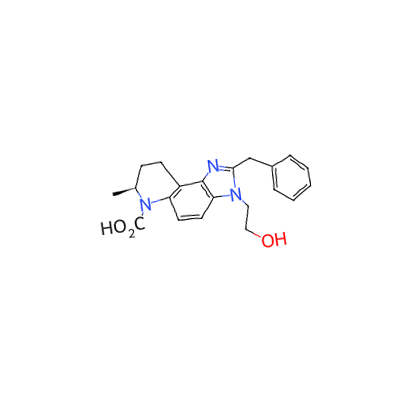 C[C@H]1CCc2c(ccc3c2nc(Cc2ccccc2)n3CCO)N1C(=O)O